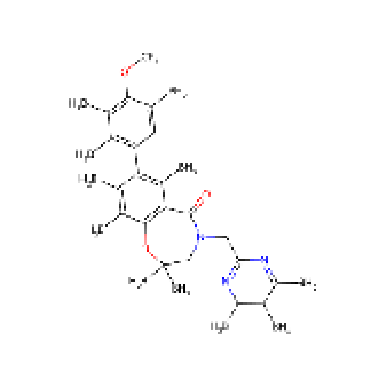 Bc1cc(-c2c(B)c(B)c3c(c2B)C(=O)N(Cc2nc(B)c(B)c(B)n2)CC(B)(B)O3)c(B)c(B)c1OC(F)(F)F